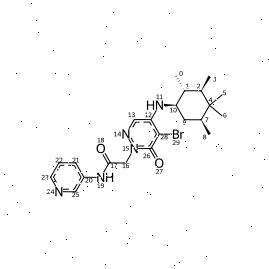 C[C@@H]1[C@@H](C)C(C)(C)[C@@H](C)C[C@H]1Nc1cnn(CC(=O)Nc2cccnc2)c(=O)c1Br